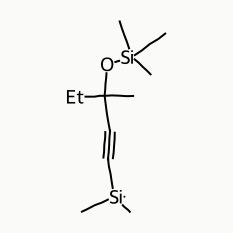 CCC(C)(C#C[Si](C)C)O[Si](C)(C)C